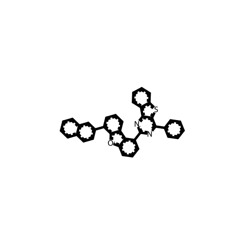 c1ccc(-c2nc(-c3cccc4oc5c(-c6ccc7ccccc7c6)cccc5c34)nc3c2sc2ccccc23)cc1